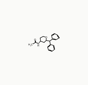 CC(=O)NC1CCOC(C(c2ccccc2)c2ccccc2)C1